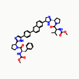 COC(=O)N[C@@H](Cc1ccccc1)C(=O)N1CCC[C@H]1c1ncc(-c2ccc(-c3ccc4cc(C5CN=C([C@@H]6CCCN6C(=O)[C@@H](NC(=O)OC)C(C)C)N5)ccc4c3)cc2)[nH]1